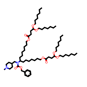 CCCCCCCOC(CCC(=O)OCCCCCCCC(CCCCCCCOC(=O)CCC(OCCCCCCC)OCCCCCCC)N(CC1CCN(C)CC1)C(=O)OCc1ccccc1)OCCCCCCC